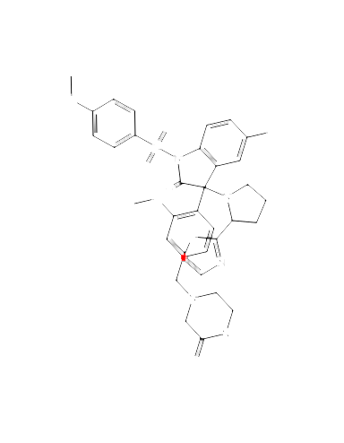 COc1ccc(S(=O)(=O)N2C(=O)C(c3ccc(CN4CCNC(=O)C4)cc3OC)(N3CCCC3c3ncco3)c3cc(Cl)ccc32)cc1